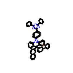 c1ccc(-c2nc(-c3ccccc3)nc(-c3ccc(N4c5ccccc5C(c5ccc6ccccc6c5)(c5cccc6c5sc5ccccc56)c5ccccc54)cc3)n2)cc1